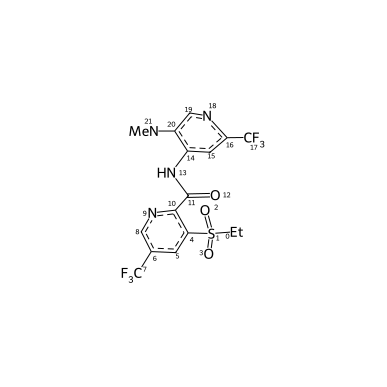 CCS(=O)(=O)c1cc(C(F)(F)F)cnc1C(=O)Nc1cc(C(F)(F)F)ncc1NC